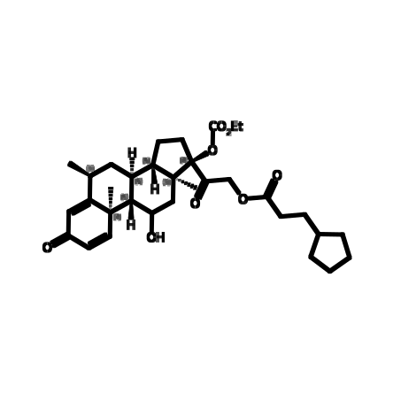 CCOC(=O)O[C@]1(C(=O)COC(=O)CCC2CCCC2)CC[C@H]2[C@@H]3C[C@H](C)C4=CC(=O)C=C[C@]4(C)[C@H]3C(O)C[C@@]21C